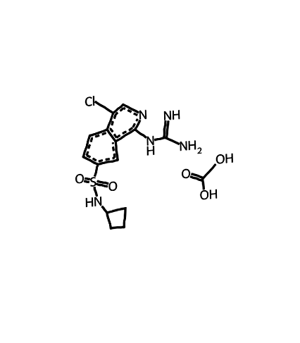 N=C(N)Nc1ncc(Cl)c2ccc(S(=O)(=O)NC3CCC3)cc12.O=C(O)O